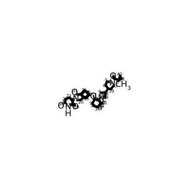 CC1(C(=O)N2CCC(C3CN([C@@H]4[C@H](Oc5ccc6c(c5)CN(C5CCC(=O)NC5=O)C6=O)CCCC4(F)F)C3)CC2)CC1